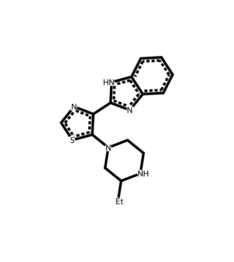 CCC1CN(c2scnc2-c2nc3ccccc3[nH]2)CCN1